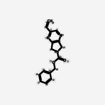 C=Cc1cnc2c(n1)CN(C(=O)OCc1ccccc1)C2